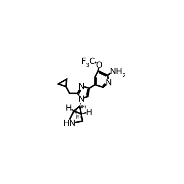 Nc1ncc(-c2cn([C@@H]3[C@@H]4CNC[C@@H]43)c(CC3CC3)n2)cc1OC(F)(F)F